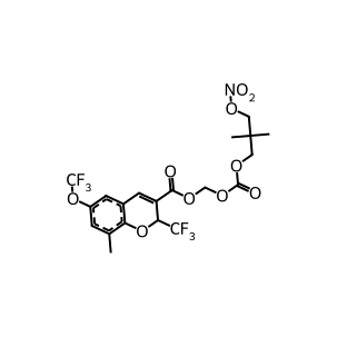 Cc1cc(OC(F)(F)F)cc2c1OC(C(F)(F)F)C(C(=O)OCOC(=O)OCC(C)(C)CO[N+](=O)[O-])=C2